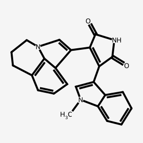 Cn1cc(C2=C(c3cn4c5c(cccc35)CCC4)C(=O)NC2=O)c2ccccc21